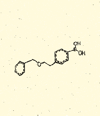 OB(O)c1ccc(CCOCc2ccccc2)cc1